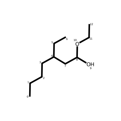 CCCCC(CC)CC(O)OCC